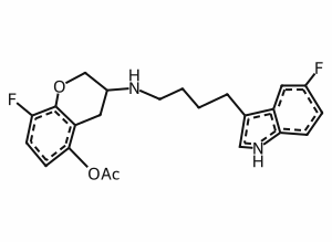 CC(=O)Oc1ccc(F)c2c1CC(NCCCCc1c[nH]c3ccc(F)cc13)CO2